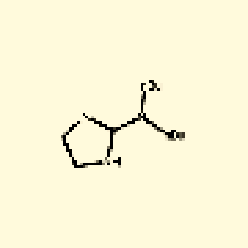 CCCCN(CCCC)C1[N]CCN1